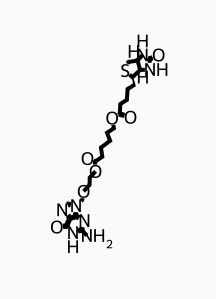 Nc1nc2c(ncn2COCCOC(=O)CCCCCOC(=O)CCCC[C@H]2SC[C@@H]3NC(=O)N[C@@H]32)c(=O)[nH]1